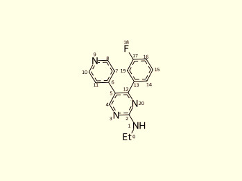 CCNc1ncc(-c2ccncc2)c(-c2cccc(F)c2)n1